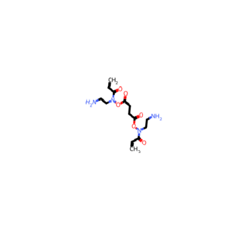 C=CC(=O)N(CCN)OC(=O)CCC(=O)ON(CCN)C(=O)C=C